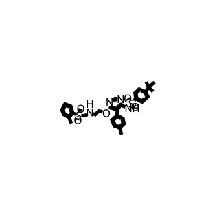 Cc1ccc(-c2c(NS(=O)(=O)c3ccc(C(C)(C)C)cc3)ncnc2OCCNCS(=O)(=O)c2ccccc2C)cc1